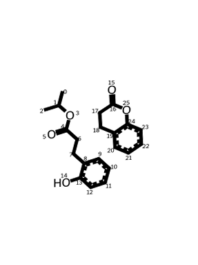 CC(C)OC(=O)CCc1ccccc1O.O=C1CCc2ccccc2O1